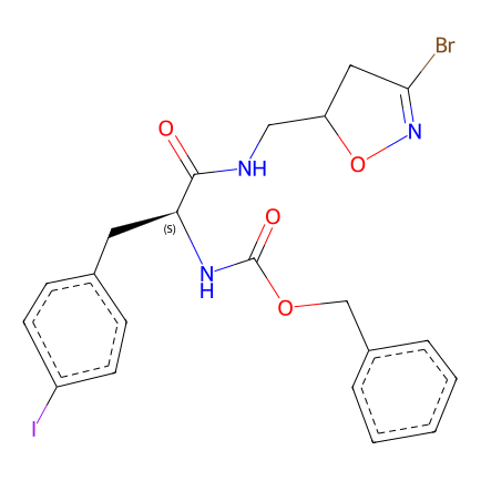 O=C(N[C@@H](Cc1ccc(I)cc1)C(=O)NCC1CC(Br)=NO1)OCc1ccccc1